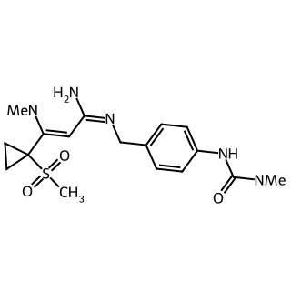 CNC(=O)Nc1ccc(C/N=C(N)\C=C(/NC)C2(S(C)(=O)=O)CC2)cc1